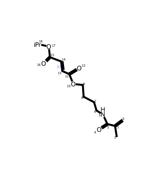 C=C(C)C(=O)NCCCCOC(=O)/C=C/C(=O)OC(C)C